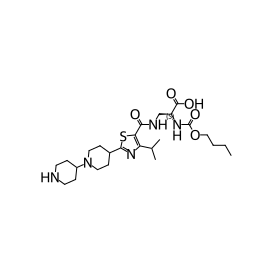 CCCCOC(=O)N[C@@H](CNC(=O)c1sc(C2CCN(C3CCNCC3)CC2)nc1C(C)C)C(=O)O